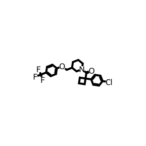 O=C(N1CCCC(COc2ccc(C(F)(F)F)cc2)C1)C1(c2ccc(Cl)cc2)CCC1